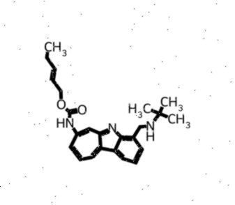 CC/C=C/COC(=O)Nc1cccc2c3cccc(CNC(C)(C)C)c3nc-2c1